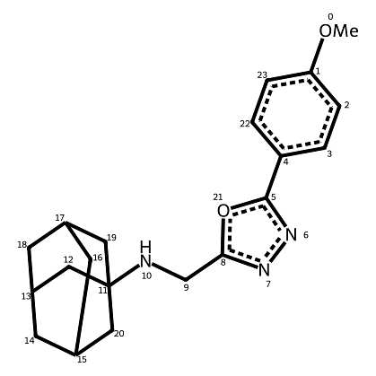 COc1ccc(-c2nnc(CNC34CC5CC(CC(C5)C3)C4)o2)cc1